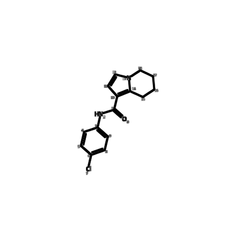 O=C(Nc1ccc(Cl)cc1)c1ccn2c1CCCC2